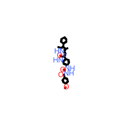 COc1ccc(C(=O)NC(=O)Nc2ccc3c(c2)NC(=O)/C3=C\c2[nH]c(C)c(-c3ccccc3)c2C)cc1